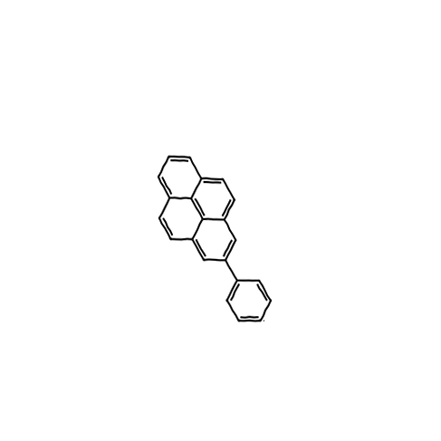 [c]1ccc(-c2cc3ccc4cccc5ccc(c2)c3c45)cc1